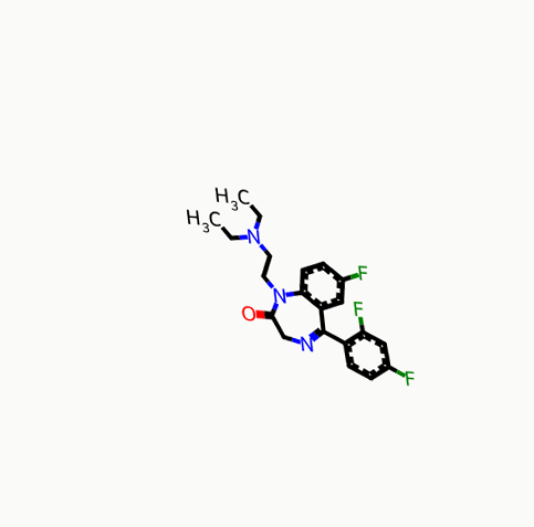 CCN(CC)CCN1C(=O)CN=C(c2ccc(F)cc2F)c2cc(F)ccc21